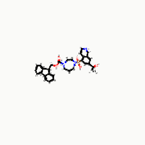 CC(=O)c1cc(S(=O)(=O)N2CCCN(C(=O)OCC3c4ccccc4-c4ccccc43)CC2)c2ccncc2c1